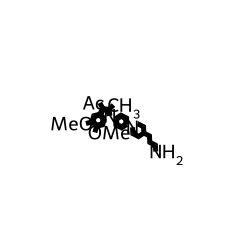 COc1cc2c(C(C)=O)c(C)n(-c3ccc(N4CCC(CCCN)CC4)cc3)c2cc1OC